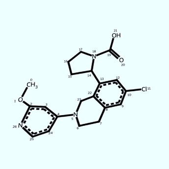 COc1cc(N2CCc3cc(Cl)cc(C4CCCN4C(=O)O)c3C2)ccn1